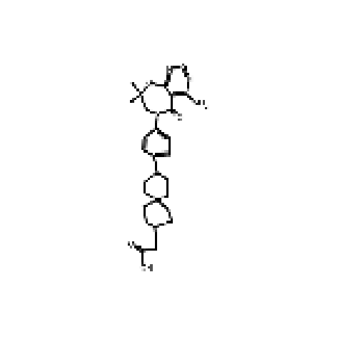 CC1(C)CN(c2ccc(C3CCC4(CCC(CC(=O)O)CC4)CC3)cc2)C(=O)c2c(N)ncnc2O1